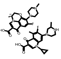 C[C@H]1COc2c(N3CCN(C)CC3)c(F)cc3c(=O)c(C(=O)O)cn1c23.Cc1c(F)c(N2CCNC(C)C2)cc2c1c(=O)c(C(=O)O)cn2C1CC1